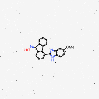 COc1ccc2[nH]c(-c3cccc4c3-c3ccccc3/C4=N/O)nc2c1